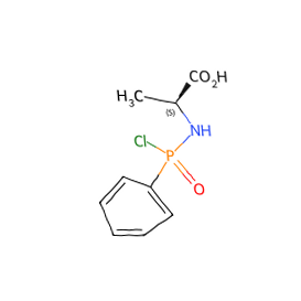 C[C@H](NP(=O)(Cl)c1ccccc1)C(=O)O